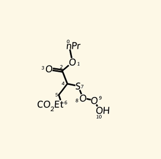 CCCOC(=O)C(CC(=O)OCC)SOOO